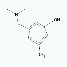 CN(C)Cc1cc(O)cc(C(F)(F)F)c1